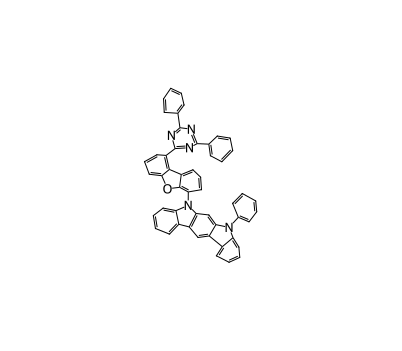 c1ccc(-c2nc(-c3ccccc3)nc(-c3cccc4oc5c(-n6c7ccccc7c7cc8c9ccccc9n(-c9ccccc9)c8cc76)cccc5c34)n2)cc1